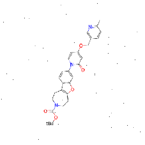 Cc1ccc(COc2ccn(-c3ccc4c5c(oc4c3)CCN(C(=O)OC(C)(C)C)CC5)c(=O)c2)cn1